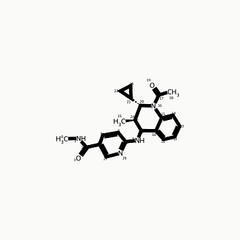 CNC(=O)c1ccc(NC2c3ccccc3N(C(C)=O)[C@@H](C3CC3)[C@@H]2C)nc1